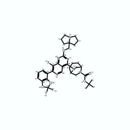 CC(C)(C)OC(=O)N1CC2CCCC1CN2c1nc(OCC23CCCN2CCC3)nc2c(F)c(-c3cccc4c3OC(F)(F)O4)ncc12